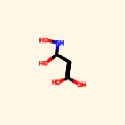 ONC(O)C=C(O)O